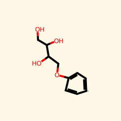 OCC(O)C(O)COc1cc[c]cc1